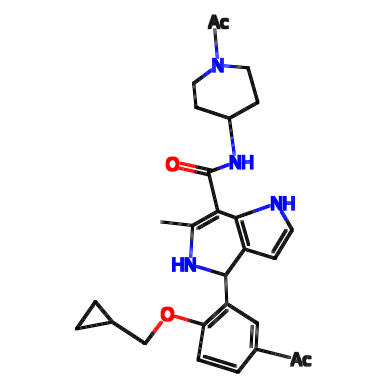 CC(=O)c1ccc(OCC2CC2)c(C2NC(C)=C(C(=O)NC3CCN(C(C)=O)CC3)c3[nH]ccc32)c1